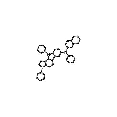 c1ccc(N(c2ccc3ccccc3c2)c2ccc3c(c2)c2ccc4c(ccn4-c4ccccc4)c2n3-c2ccccc2)cc1